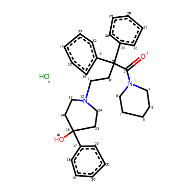 Cl.O=C(N1CCCCC1)C(CCN1CCC(O)(c2ccccc2)CC1)(c1ccccc1)c1ccccc1